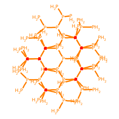 PPP(P(P)P)P(P(P)P)P(P(P(P(P)P)P(P)P)P(P(P)P)P(P)P)P(P(P(P(P)P)P(P)P)P(P(P)P)P(P)P)P(P(P(P(P)P)P(P)P)P(P(P)P)P(P)P)P(P(P(P)P)P(P)P)P(P(P)P)P(P)P